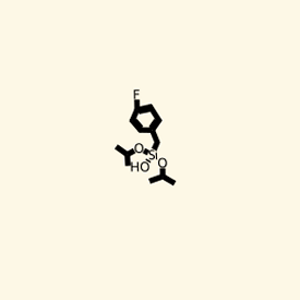 CC(C)O[Si](O)(Cc1ccc(F)cc1)OC(C)C